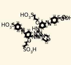 O=S(=O)(O)CCCOc1cc(N=Nc2ccc(SOOO)cc2)ccc1Nc1nc(Nc2ccc(N=Nc3ccc(S(=O)(=O)O)cc3)cc2OCCCS(=O)(=O)O)nc(N2CCOCC2)n1